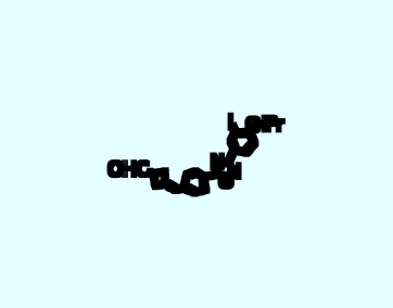 CC(C)Oc1ccc(-c2noc(-c3ccc(C=C4CC(C=O)C4)cc3)n2)cc1I